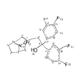 CN1C2CCC1CC(CC(O)(c1ccc(F)c(F)c1)c1ccc(F)c(F)c1)C2